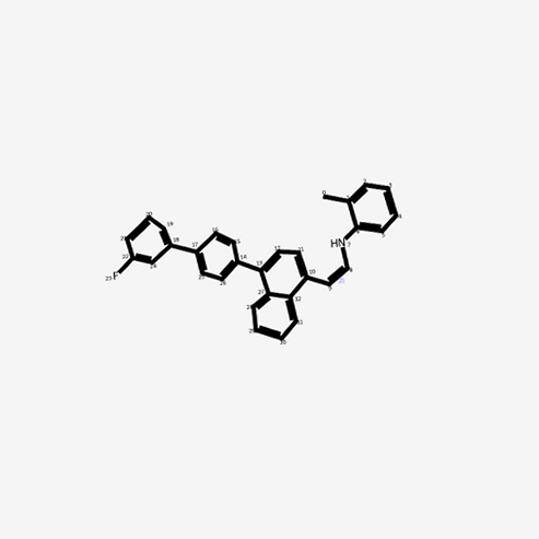 Cc1ccccc1N/C=C\c1ccc(-c2ccc(-c3cccc(F)c3)cc2)c2ccccc12